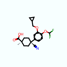 C[C@]1(C(=O)O)CC[C@](C#N)(c2ccc(OC(F)F)c(OCC3CC3)c2)CC1